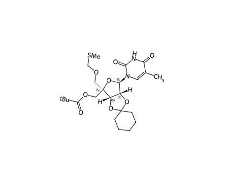 CSCOC[C@]1(COC(=O)C(C)(C)C)O[C@@H](n2cc(C)c(=O)[nH]c2=O)[C@@H]2OC3(CCCCC3)O[C@@H]21